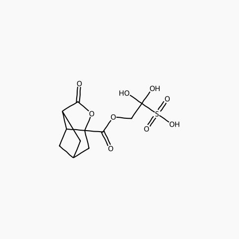 O=C1OC2(C(=O)OCC(O)(O)S(=O)(=O)O)CC3CC1C2C3